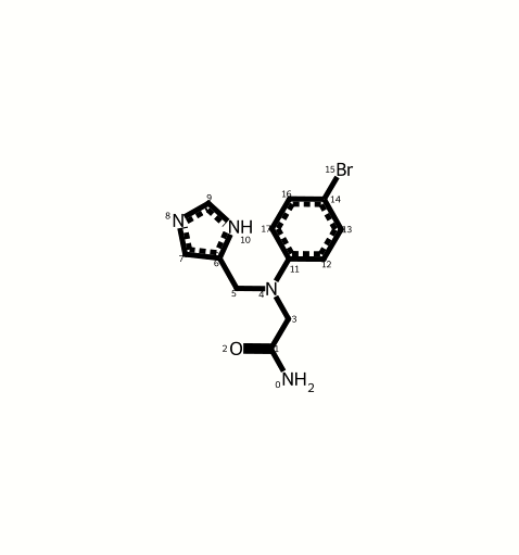 NC(=O)CN(Cc1cnc[nH]1)c1ccc(Br)cc1